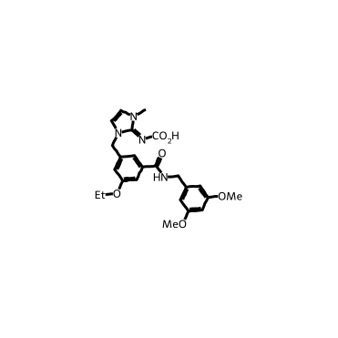 CCOc1cc(Cn2ccn(C)c2=NC(=O)O)cc(C(=O)NCc2cc(OC)cc(OC)c2)c1